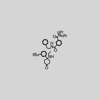 CCCN(CCC)C(=O)c1cccc(C(=O)N[C@H](CCNC2(c3cccc(C(C)(C)C)c3)CCC(=O)CC2)Cc2ccccc2)c1